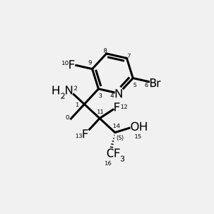 CC(N)(c1nc(Br)ccc1F)C(F)(F)[C@H](O)C(F)(F)F